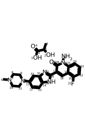 CC(O)C(=O)O.CN1CCN(c2ccc3[nH]c(-c4cc5c(F)cccc5n(N)c4=O)nc3c2)CC1